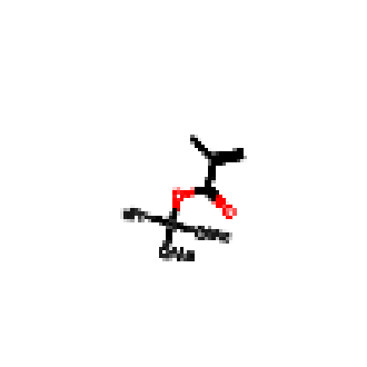 C=C(C)C(=O)O[Si](CCC)(OC)OC